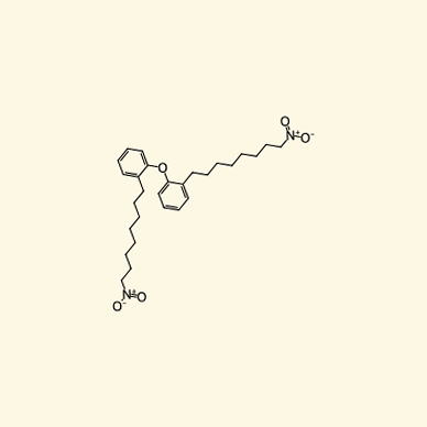 O=[N+]([O-])CCCCCCCCc1ccccc1Oc1ccccc1CCCCCCCC[N+](=O)[O-]